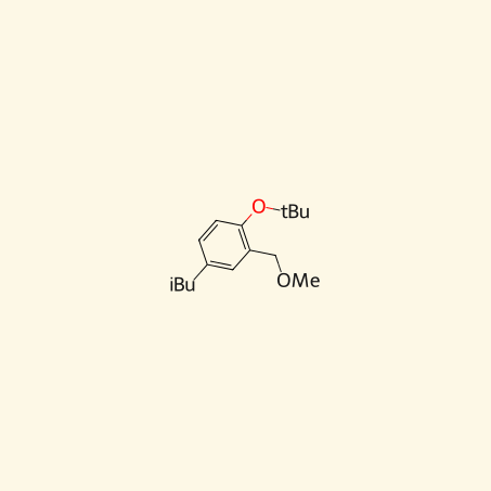 CCC(C)c1ccc(OC(C)(C)C)c(COC)c1